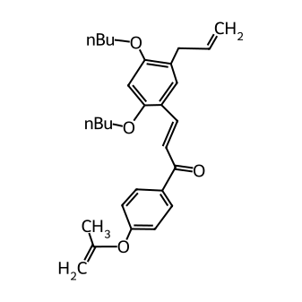 C=CCc1cc(C=CC(=O)c2ccc(OC(=C)C)cc2)c(OCCCC)cc1OCCCC